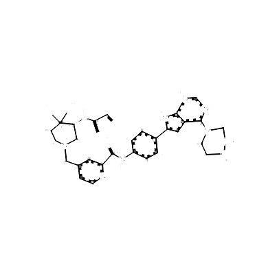 C=CC(=O)N[C@H]1CN(Cc2ccnc(C(=O)Nc3ccc(-c4cc5c(N6CCOCC6)ncnc5[nH]4)cc3)c2)CCC1(F)F